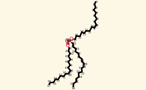 CCCCCCCC/C=C\CCCCCCCCOP(=O)(CCCCCCCC/C=C\CCCCCCCC)OCCCCCCCC/C=C\CCCCCCCC